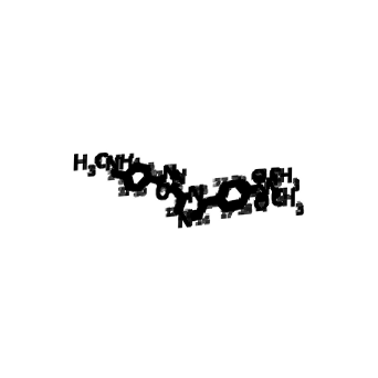 CNCc1ccc(-c2nnc(-c3cncc(-c4ccc(S(=O)(=O)N(C)C)cc4)n3)o2)cc1